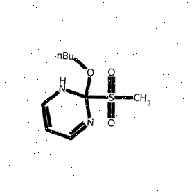 CCCCOC1(S(C)(=O)=O)N=CC=CN1